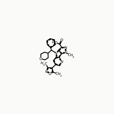 Cc1noc(C)c1-c1cnc2c3c(c(C(=O)O)nn3C)n(C(c3ccccc3)C3CCOCC3)c2c1